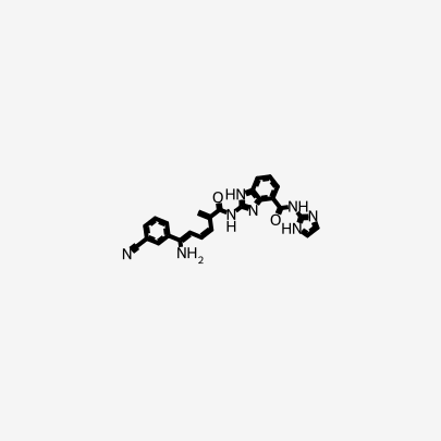 C=C(/C=C\C=C(/N)c1cccc(C#N)c1)C(=O)Nc1nc2c(C(=O)Nc3ncc[nH]3)cccc2[nH]1